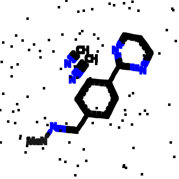 C#N.C#N.CNN=Cc1ccc(-c2ncccn2)cc1